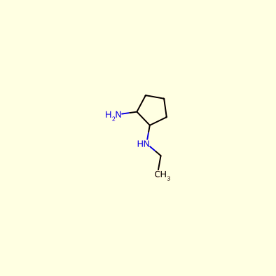 CCNC1CCCC1N